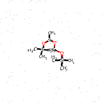 C[Si](O[SiH2]O[Si](C)(C)C)O[Si](C)(C)C